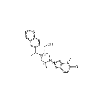 CC(c1ccc2nccnc2c1)N1C[C@H](C)N(n2cc3c(ccc(=O)n3C)n2)C[C@H]1CO